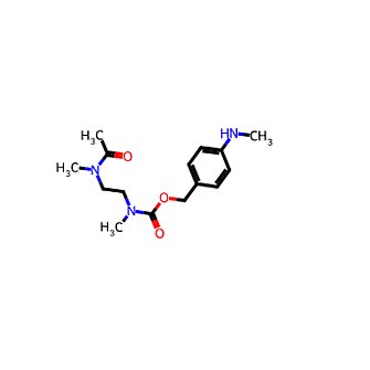 CNc1ccc(COC(=O)N(C)CCN(C)C(C)=O)cc1